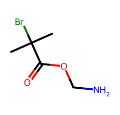 CC(C)(Br)C(=O)OCN